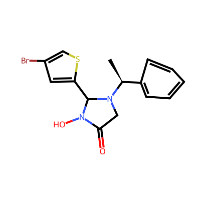 C[C@@H](c1ccccc1)N1CC(=O)N(O)C1c1cc(Br)cs1